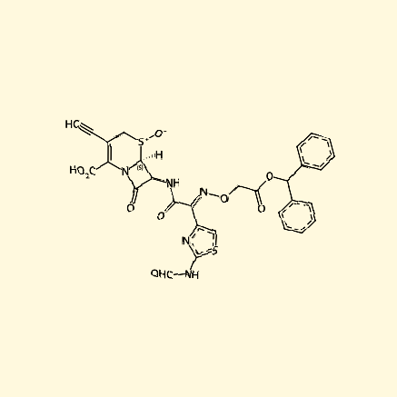 C#CC1=C(C(=O)O)N2C(=O)C(NC(=O)C(=NOCC(=O)OC(c3ccccc3)c3ccccc3)c3csc(NC=O)n3)[C@@H]2[S+]([O-])C1